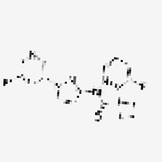 O=C(Nc1ccn(-c2cncc(F)c2)n1)C1(c2ncccc2F)CCC1